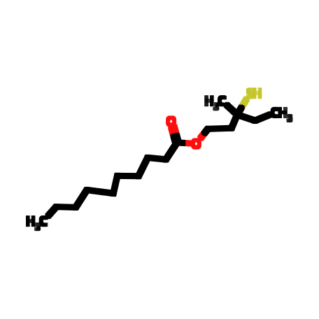 CCCCCCCCCC(=O)OCCC(C)(S)CC